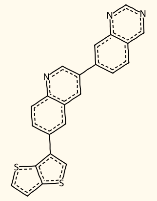 c1ncc2ccc(-c3cnc4ccc(-c5csc6ccsc56)cc4c3)cc2n1